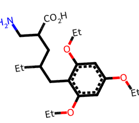 CCOc1cc(OCC)c(CC(CC)CC(CN)C(=O)O)c(OCC)c1